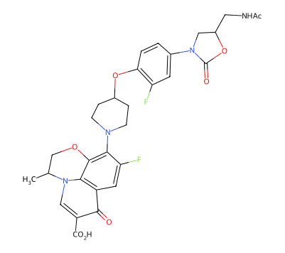 CC(=O)NCC1CN(c2ccc(OC3CCN(c4c(F)cc5c(=O)c(C(=O)O)cn6c5c4OCC6C)CC3)c(F)c2)C(=O)O1